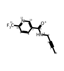 CC#CCNC(=O)c1ccc(C(F)(F)F)nc1